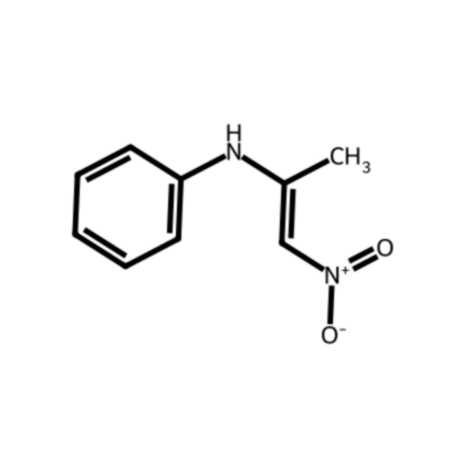 CC(=C[N+](=O)[O-])Nc1ccccc1